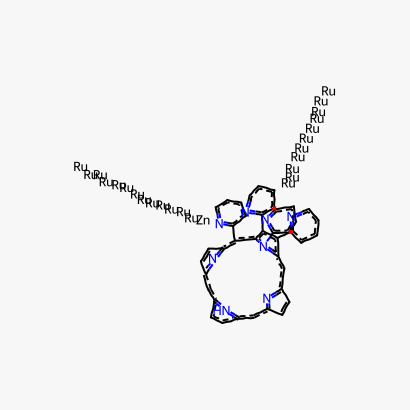 C1=Cc2cc3c(-c4ccccn4)c(-c4ccccn4)c(c(-c4ccccn4)c4nc(cc5ccc(cc1n2)[nH]5)C=C4)n3-c1ccccn1.[Ru].[Ru].[Ru].[Ru].[Ru].[Ru].[Ru].[Ru].[Ru].[Ru].[Ru].[Ru].[Ru].[Ru].[Ru].[Ru].[Ru].[Ru].[Ru].[Ru].[Ru].[Ru].[Ru].[Ru].[Zn]